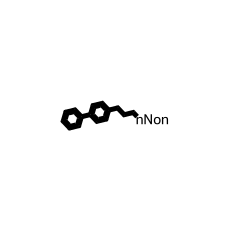 CCCCCCCCCCCCc1ccc(-c2ccccc2)cc1